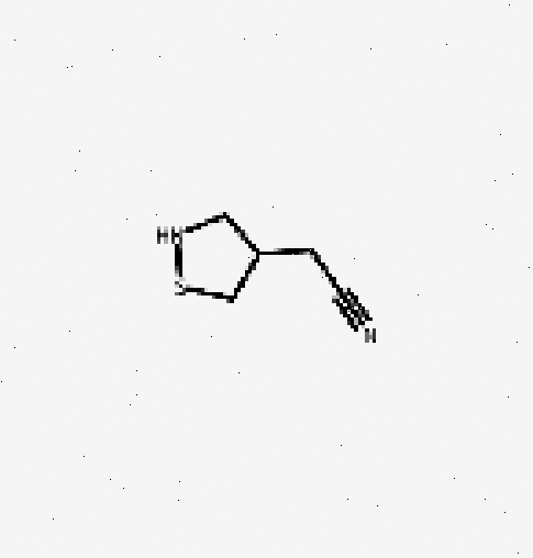 N#CCC1CNSC1